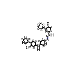 Fc1cnc(N/N=C/c2ccc(Nc3ccc(-c4cncnc4)c(Cl)c3)cn2)nc1N1CCOCC1